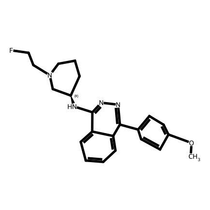 COc1ccc(-c2nnc(N[C@@H]3CCCN(CCF)C3)c3ccccc23)cc1